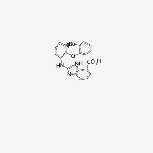 CC(C)(C)c1ccccc1Oc1ncccc1Nc1nc2cccc(C(=O)O)c2[nH]1